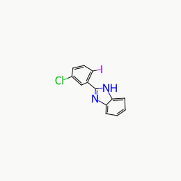 Clc1ccc(I)c(-c2nc3ccccc3[nH]2)c1